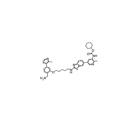 Cc1ncc(-c2ccc3nc(NCCCCCOc4cc(-c5scnc5C)ccc4CN)sc3c2)cc1NC(=O)OC1CCCCC1